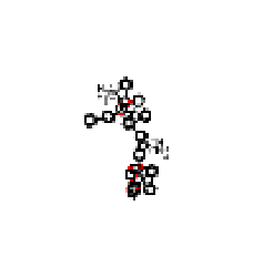 CC1(C)c2ccc(-c3ccc(N(c4ccc(-c5ccccc5)cc4)c4ccc5c(c4)C(C)(C)c4ccccc4-5)c4c3-c3ccccc3C43c4ccccc4-c4ccccc43)cc2-c2ccc(N(c3cccc(-c4ccccc4)c3)c3cccc4c3C3(c5ccccc5-c5ccccc53)c3ccccc3-4)cc21